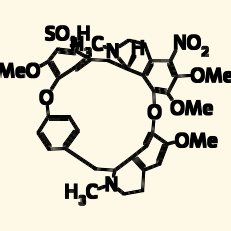 COc1cc(S(=O)(=O)O)c2cc1Oc1ccc(cc1)CC1c3cc(c(OC)cc3CCN1C)Oc1c(OC)c(OC)c([N+](=O)[O-])c3c1[C@H](C2)N(C)CC3